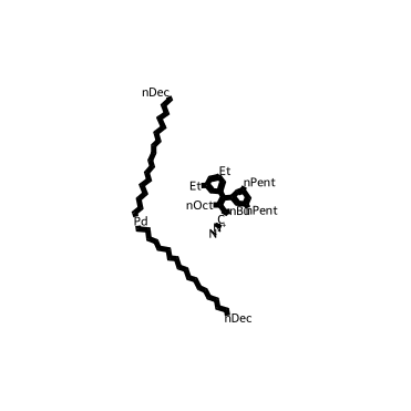 CCCCCCCCC(C(=C=[N+]=[N-])CCCC)=C(c1cc(CC)cc(CC)c1)c1cc(CCCCC)cc(CCCCC)c1.CCCCCCCCCCCCCCCCCCCCCCCCCCC[CH2][Pd][CH2]CCCCCCCCCCCCCCCCCCCCCCCCCCC